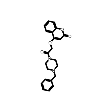 O=C(COc1cc(=O)oc2ccccc12)N1CCN(Cc2ccccc2)CC1